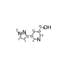 Cn1ccc(-c2cncc(CO)c2)n1